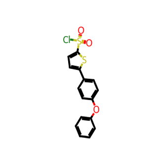 O=S(=O)(Cl)c1ccc(-c2ccc(Oc3ccccc3)cc2)s1